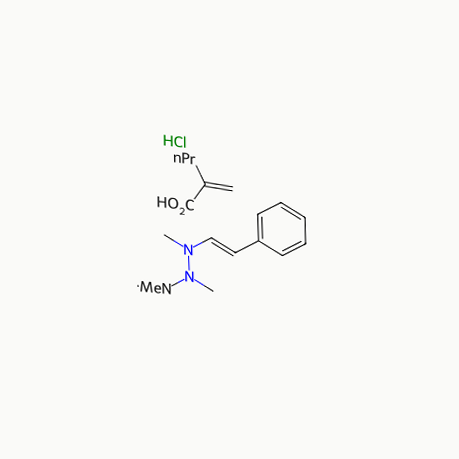 C=C(CCC)C(=O)O.C[N]N(C)N(C)C=Cc1ccccc1.Cl